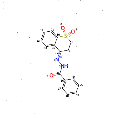 O=C(N/N=C1\CCS(=O)(=O)c2ccccc21)c1ccccc1